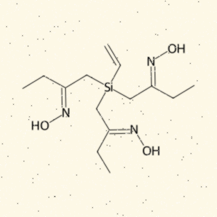 C=C[Si](CC(CC)=NO)(CC(CC)=NO)CC(CC)=NO